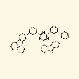 c1ccc(-c2cccc(-c3nc(-c4cccc(-c5ccc6c(c5)-c5cccc7cccc-6c57)c4)nc(-c4cccc5oc6ccccc6c45)n3)c2)cc1